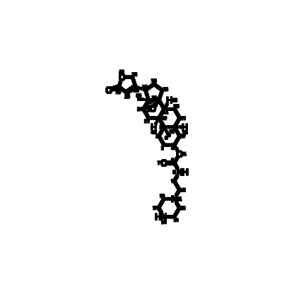 C[C@]12CC[C@H](OC(=O)NCCN3CCNCC3)C[C@H]1CC[C@@H]1[C@@H]2CC[C@]2(C)[C@@H](C3=CC(=O)OC3)[CH]C[C@]12O